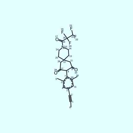 CC#Cc1cc(C)c(C2C(=O)CC3(CCN(C(=O)C(F)(F)C(F)F)CC3)CC2=O)c(C)c1